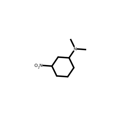 CN(C)C1CCCC([N+](=O)[O-])C1